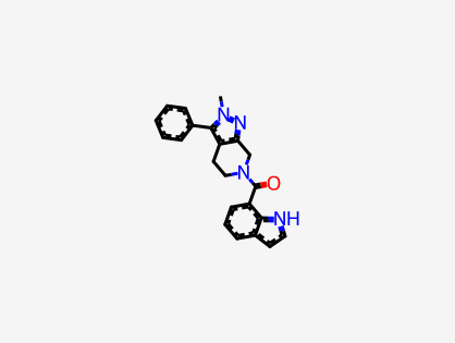 Cn1nc2c(c1-c1ccccc1)CCN(C(=O)c1cccc3cc[nH]c13)C2